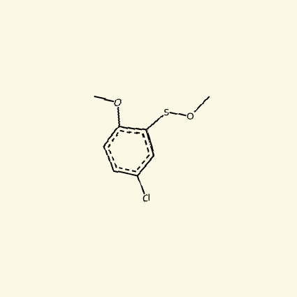 COSc1cc(Cl)ccc1OC